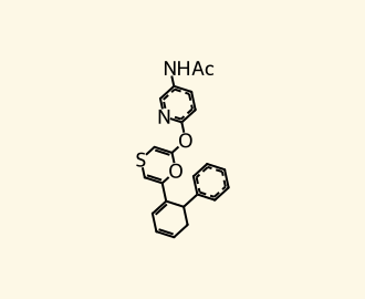 CC(=O)Nc1ccc(OC2=CSC=C(C3=CC=CCC3c3ccccc3)O2)nc1